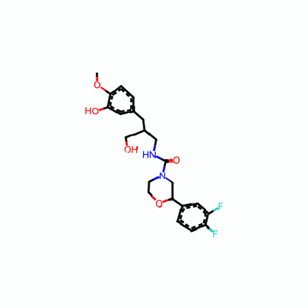 COc1ccc(CC(CO)CNC(=O)N2CCOC(c3ccc(F)c(F)c3)C2)cc1O